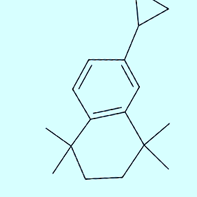 CC1(C)CCC(C)(C)c2cc(C3[CH]C3)ccc21